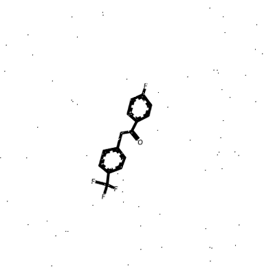 O=C(Cc1ccc(C(F)(F)F)cc1)c1ccc(F)cc1